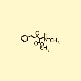 CCN/C=C(/C(=O)/C=C/c1ccccc1)C(=O)OC